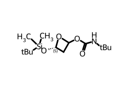 CC(C)(C)NC(=O)OC1C[C@H](O[Si](C)(C)C(C)(C)C)O1